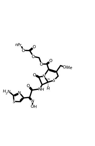 CCCOC(=O)OCOC(=O)C1=C(COC)CS[C@H]2C(NC(=O)C(=NO)c3csc(N)n3)C(=O)N12